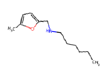 CCCCCCNCc1ccc(C)o1